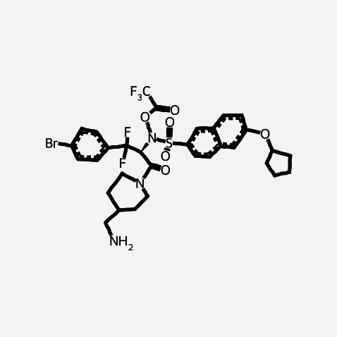 NCC1CCN(C(=O)[C@H](N(OC(=O)C(F)(F)F)S(=O)(=O)c2ccc3cc(OC4CCCC4)ccc3c2)C(F)(F)c2ccc(Br)cc2)CC1